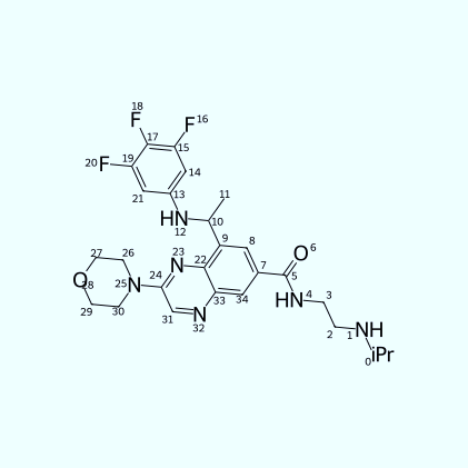 CC(C)NCCNC(=O)c1cc(C(C)Nc2cc(F)c(F)c(F)c2)c2nc(N3CCOCC3)cnc2c1